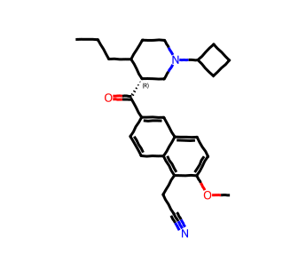 CCCC1CCN(C2CCC2)C[C@@H]1C(=O)c1ccc2c(CC#N)c(OC)ccc2c1